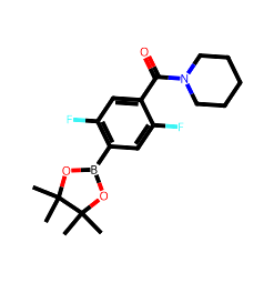 CC1(C)OB(c2cc(F)c(C(=O)N3CCCCC3)cc2F)OC1(C)C